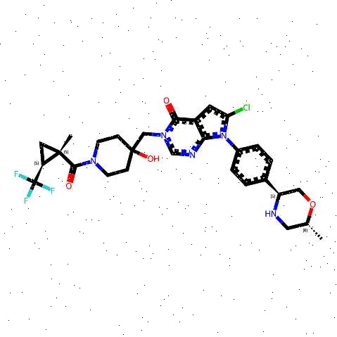 C[C@@H]1CN[C@@H](c2ccc(-n3c(Cl)cc4c(=O)n(CC5(O)CCN(C(=O)[C@@]6(C)C[C@@H]6C(F)(F)F)CC5)cnc43)cc2)CO1